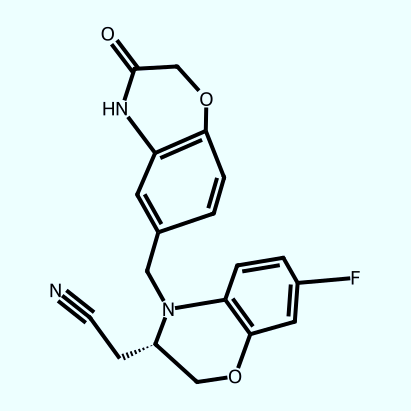 N#CC[C@H]1COc2cc(F)ccc2N1Cc1ccc2c(c1)NC(=O)CO2